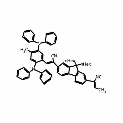 [C-]#[N+]/C(=C\C)c1ccc2c(c1)C(CCCCCC)(CCCCCC)c1cc(/C(C#N)=C/c3cc(N(c4ccccc4)c4ccccc4)c(C)cc3N(c3ccccc3)c3ccccc3)ccc1-2